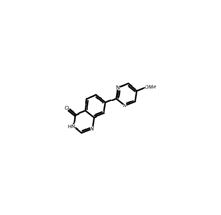 COc1cnc(-c2ccc3c(=O)[nH]cnc3c2)nc1